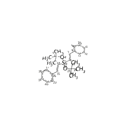 CC(C)(C)O[Si](/C=C/c1ccccc1)(/C=C/c1ccccc1)OC(C)(C)C